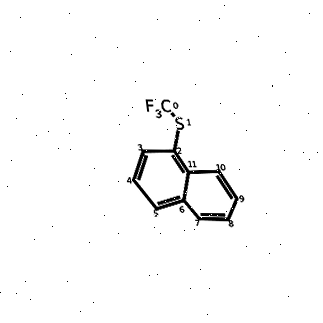 FC(F)(F)Sc1[c]ccc2ccccc12